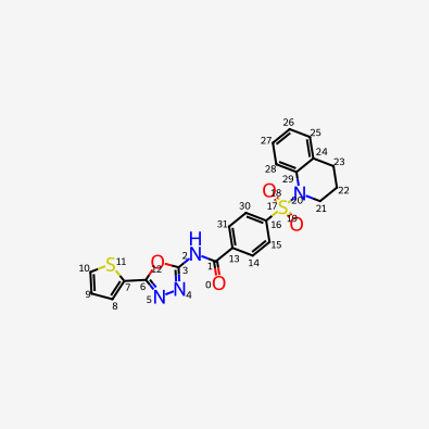 O=C(Nc1nnc(-c2cccs2)o1)c1ccc(S(=O)(=O)N2CCCc3ccccc32)cc1